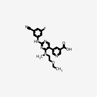 CCOCCN(C)c1nc(Nc2cc(F)cc(C#N)c2)ncc1-c1cncc(C(=O)O)c1